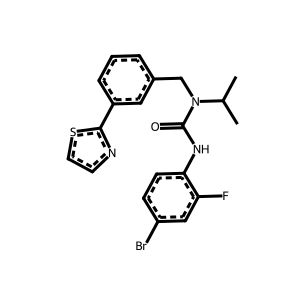 CC(C)N(Cc1cccc(-c2nccs2)c1)C(=O)Nc1ccc(Br)cc1F